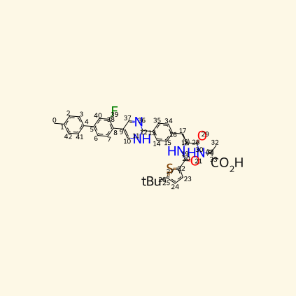 Cc1ccc(-c2ccc(C3=CNC(c4ccc(C[C@H](NC(=O)c5ccc(C(C)(C)C)s5)C(=O)N[C@H](C)C(=O)O)cc4)N=C3)c(F)c2)cc1